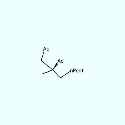 CCCCCC[C@](C)(CC(C)=O)C(C)=O